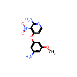 COc1cc(N)cc(Oc2ccnc(N)c2[N+](=O)[O-])c1